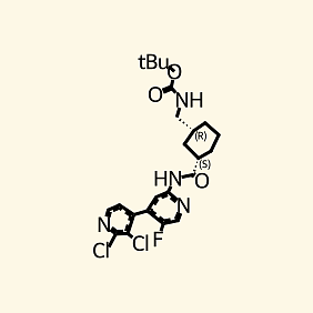 CC(C)(C)OC(=O)NC[C@@H]1CCC[C@H](C(=O)Nc2cc(-c3ccnc(Cl)c3Cl)c(F)cn2)C1